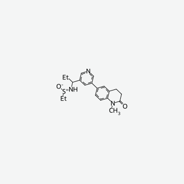 CCC(N[S+]([O-])CC)c1cncc(-c2ccc3c(c2)CCC(=O)N3C)c1